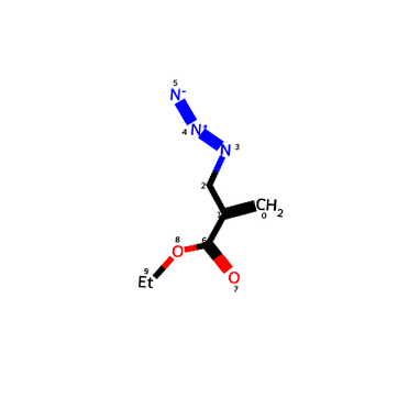 C=C(CN=[N+]=[N-])C(=O)OCC